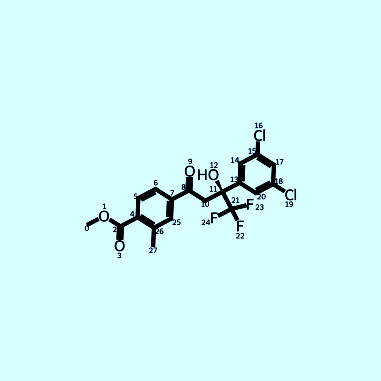 COC(=O)c1ccc(C(=O)C[C@](O)(c2cc(Cl)cc(Cl)c2)C(F)(F)F)cc1C